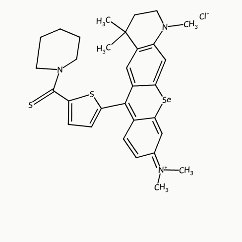 CN1CCC(C)(C)c2cc3c(-c4ccc(C(=S)N5CCCCC5)s4)c4ccc(=[N+](C)C)cc-4[se]c3cc21.[Cl-]